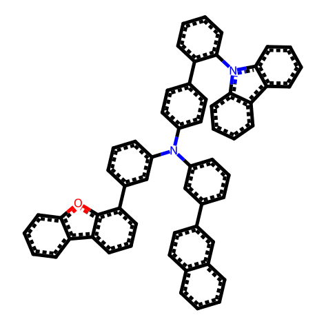 c1cc(-c2ccc3ccccc3c2)cc(N(c2ccc(-c3ccccc3-n3c4ccccc4c4ccccc43)cc2)c2cccc(-c3cccc4c3oc3ccccc34)c2)c1